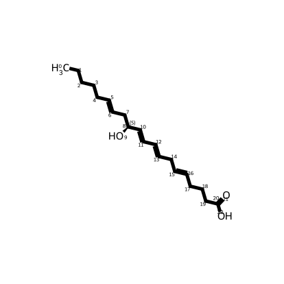 CCCCCC=CC[C@H](O)C=CC=CCC=CCCCC(=O)O